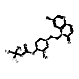 CC(C)(C)OC(=O)NC1CCN(CCn2c(=O)ccc3ncc(F)cc32)C[C@H]1O